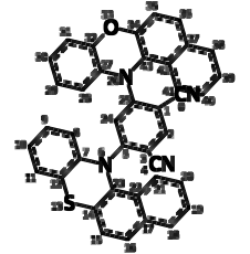 N#Cc1cc(C#N)c(N2c3ccccc3Sc3ccc4ccccc4c32)cc1N1c2ccccc2Oc2ccc3ccccc3c21